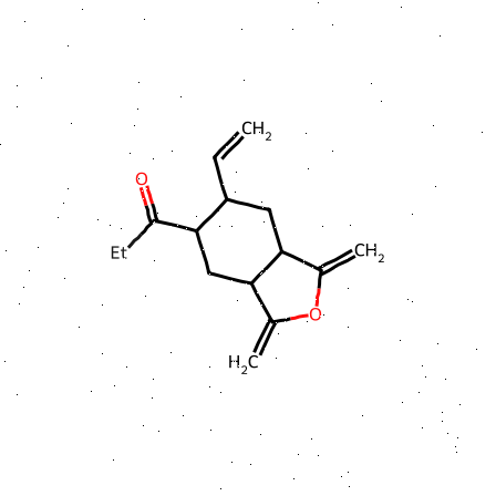 C=CC1CC2C(=C)OC(=C)C2CC1C(=O)CC